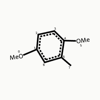 COc1ccc(OC)c(C)c1